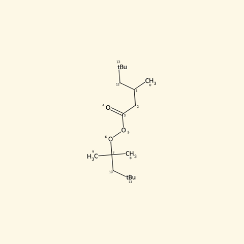 CC(CC(=O)OOC(C)(C)CC(C)(C)C)CC(C)(C)C